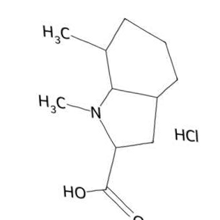 CC1CCCC2CC(C(=O)O)N(C)C12.Cl